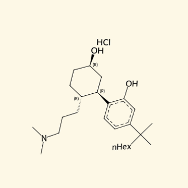 CCCCCCC(C)(C)c1ccc([C@@H]2C[C@H](O)CC[C@H]2CCCN(C)C)c(O)c1.Cl